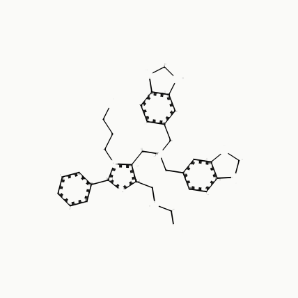 CCCCn1c(-c2ccccc2)nc(COCC)c1CN(Cc1ccc2c(c1)OCO2)Cc1ccc2c(c1)OCO2